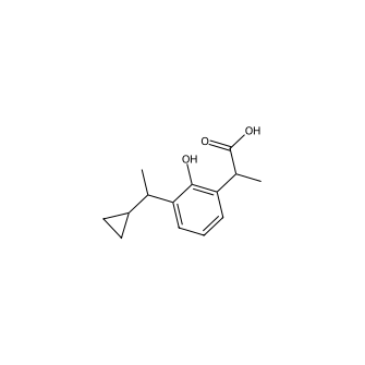 CC(C(=O)O)c1cccc(C(C)C2CC2)c1O